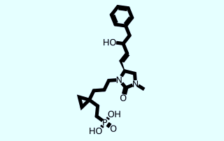 CN1C[C@H](/C=C/C(O)Cc2ccccc2)N(CCCC2(CCP(=O)(O)O)CC2)C1=O